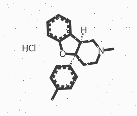 Cc1ccc([C@@]23CCN(C)C[C@@H]2c2ccccc2O3)cc1.Cl